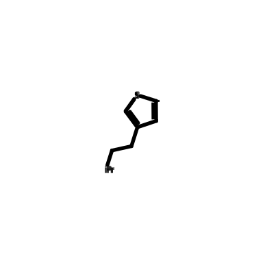 CC(C)CCc1c[c]sc1